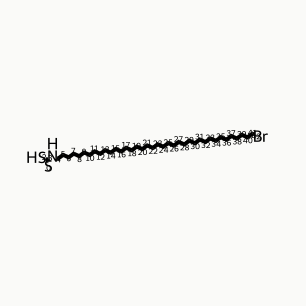 S=C(S)NCCCCCCCCCCCCCCCCCCCCCCCCCCCCCCCCCCCCCCBr